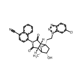 C[C@]12O[C@](CCn3nnc4ccc(Cl)cc43)(C[C@@H]1O)[C@H]1C(=O)N(c3ccc(C#N)c4ccccc34)C(=O)[C@H]12